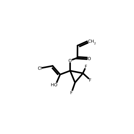 C=CC(=O)OC1(C(O)=CCl)C(F)C1(F)F